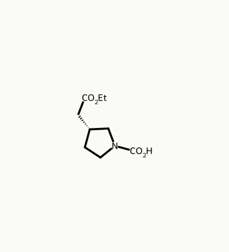 CCOC(=O)C[C@H]1CCN(C(=O)O)C1